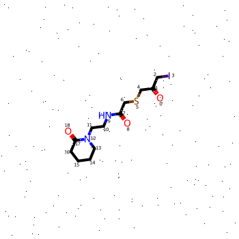 O=C(CI)CSCC(=O)NCCN1CCCCC1=O